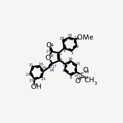 COc1ccc(C2=C(c3ccc(S(C)(=O)=O)cc3)/C(=C/c3cccc(O)c3)OC2=O)cc1